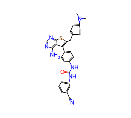 CN(C)c1ccc(Cc2sc3ncnc(N)c3c2-c2ccc(NC(=O)Nc3cccc(C#N)c3)cc2)cc1